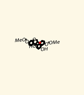 COCOc1ccc(C2COc3cc(OCOC)ccc3C2(O)c2ccc(O)cc2)cc1